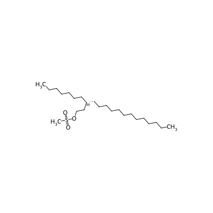 CCCCCCCCCCCCC[C@@H](CCCCCCC)CCOS(C)(=O)=O